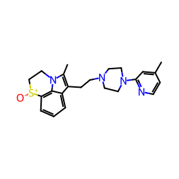 Cc1ccnc(N2CCN(CCc3c(C)n4c5c(cccc35)[S+]([O-])CC4)CC2)c1